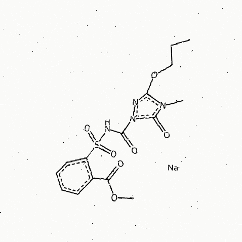 CCCOc1nn(C(=O)NS(=O)(=O)c2ccccc2C(=O)OC)c(=O)n1C.[Na]